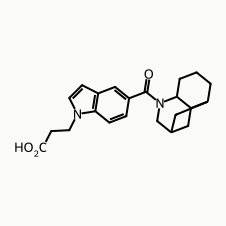 O=C(O)CCn1ccc2cc(C(=O)N3CC4CC5CCCC3C5C4)ccc21